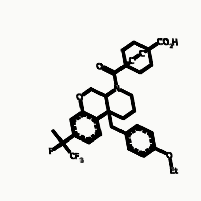 CCOc1ccc(CC23CCCN(C(=O)C45CCC(C(=O)O)(CC4)CC5)C2COc2cc(C(C)(F)C(F)(F)F)ccc23)cc1